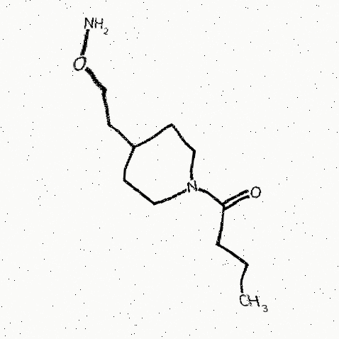 CCCC(=O)N1CCC(CCON)CC1